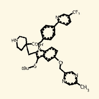 Cc1cnc(COc2ccc3c(c2)c(SC(C)(C)C)c(CC2(C(=O)O)CCNCC2)n3Cc2ccc(-c3ccc(C(F)(F)F)cn3)cc2)cn1